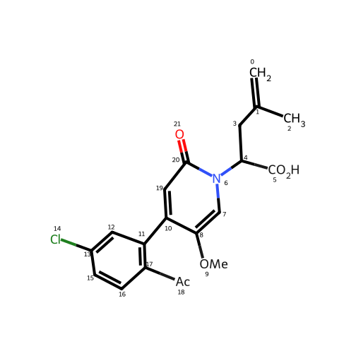 C=C(C)CC(C(=O)O)n1cc(OC)c(-c2cc(Cl)ccc2C(C)=O)cc1=O